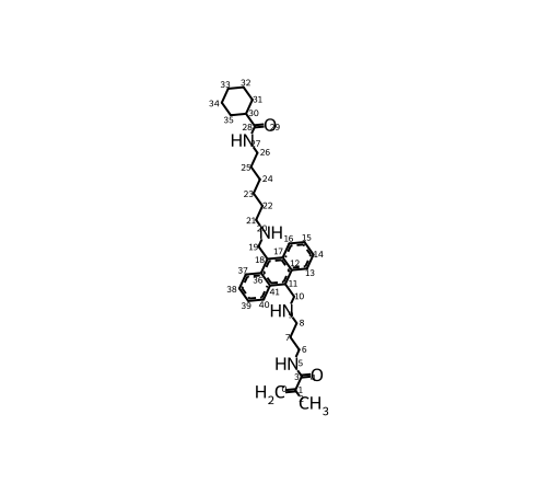 C=C(C)C(=O)NCCCNCc1c2ccccc2c(CNCCCCCCNC(=O)C2CCCCC2)c2ccccc12